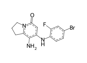 Nc1c(Nc2ccc(Br)cc2F)cc(=O)n2c1CCC2